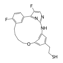 Fc1ccc2cc1CCCCOc1cc(CCS)cc(c1)Nc1ncc(F)c-2n1